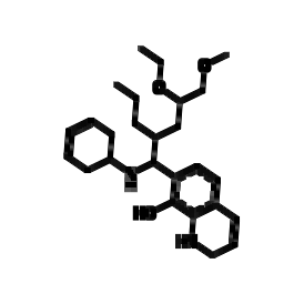 CCCC(CC(COC)OCC)C(NC1CC=C=CC1)c1ccc2c(c1O)NCC=C2